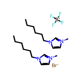 CCCCCCn1cc[n+](C)c1.CCCCCCn1cc[n+](C)c1.F[B-](F)(F)F.[Br-]